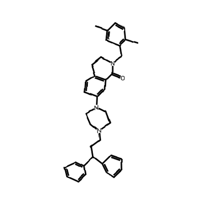 Cc1ccc(C)c(CN2CCc3ccc(N4CCN(CCC(c5ccccc5)c5ccccc5)CC4)cc3C2=O)c1